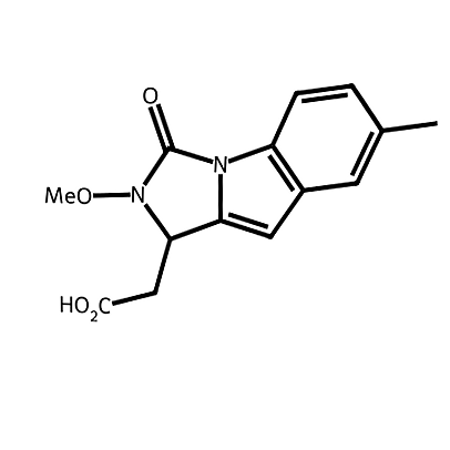 CON1C(=O)n2c(cc3cc(C)ccc32)C1CC(=O)O